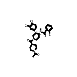 CC(=O)N1CCC(C(=O)N2CC[C@@H](N(C)C(=O)c3ccccc3Cl)[C@H](c3ccc(Cl)c(Cl)c3)C2)CC1